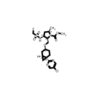 COC(=O)N1[C@H](C)C[C@H](NS(=O)(=O)CF)[C@@H]1CO[C@H]1CC[C@@]2(c3ncc(Cl)cn3)C[C@H]2C1